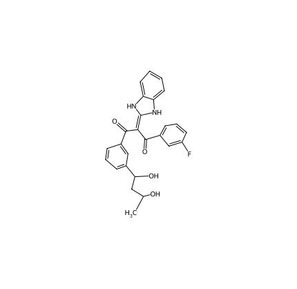 CC(O)CC(O)c1cccc(C(=O)C(C(=O)c2cccc(F)c2)=C2Nc3ccccc3N2)c1